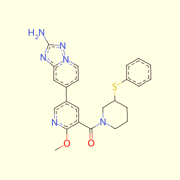 COc1ncc(-c2ccn3nc(N)nc3c2)cc1C(=O)N1CCCC(Sc2ccccc2)C1